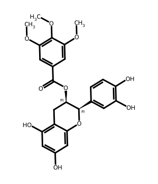 COc1cc(C(=O)O[C@@H]2Cc3c(O)cc(O)cc3O[C@@H]2c2ccc(O)c(O)c2)cc(OC)c1OC